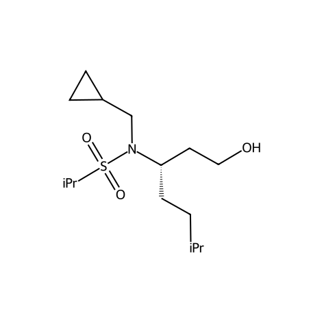 CC(C)CC[C@@H](CCO)N(CC1CC1)S(=O)(=O)C(C)C